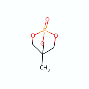 CC12COP(=O)(OC1)OC2